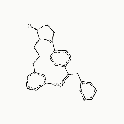 O=C(O)c1cccc(CCCC2C(Cl)CCN2c2ccc(C(=O)Cc3ccccc3)cc2)c1